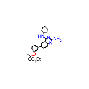 CCOC(=O)C(C)Oc1cccc(-c2ccc3nc(N)nc(NC4CCCCC4)c3c2)c1